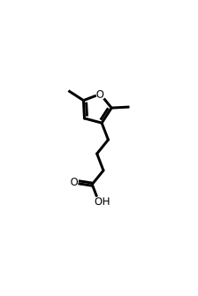 Cc1cc(CCCC(=O)O)c(C)o1